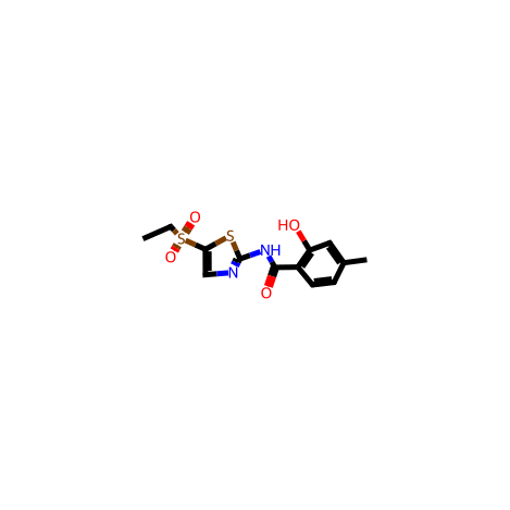 CCS(=O)(=O)c1cnc(NC(=O)c2ccc(C)cc2O)s1